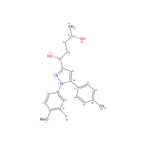 COc1ccc(-n2nc(C(O)CCC(C)O)cc2-c2ccc(C)cc2)cc1F